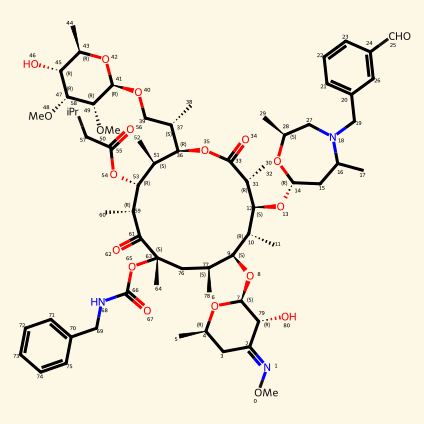 CON=C1C[C@@H](C)O[C@@H](O[C@@H]2[C@@H](C)[C@H](O[C@H]3CC(C)N(Cc4cccc(C=O)c4)C[C@H](C)O3)[C@@H](C)C(=O)O[C@H]([C@@H](C)CO[C@@H]3O[C@H](C)[C@@H](O)[C@@H](OC)[C@H]3OC)[C@H](C)[C@@H](OC(=O)CC(C)C)[C@@H](C)C(=O)[C@@](C)(OC(=O)NCc3ccccc3)C[C@@H]2C)[C@@H]1O